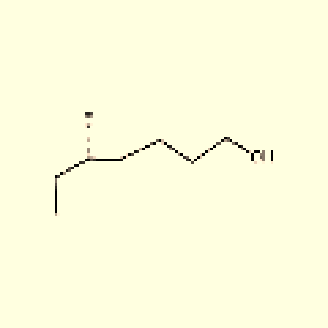 CC[C@H](C)CCCCO